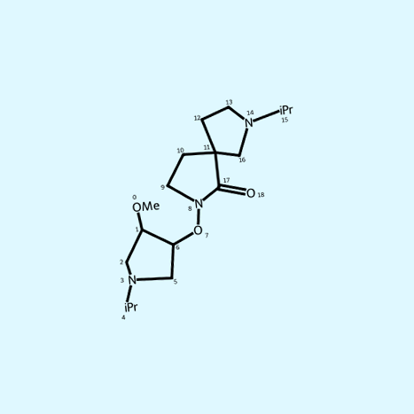 COC1CN(C(C)C)CC1ON1CCC2(CCN(C(C)C)C2)C1=O